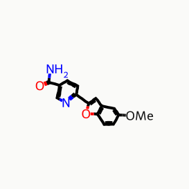 COc1ccc2oc(-c3ccc(C(N)=O)cn3)cc2c1